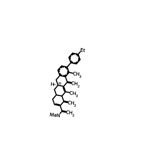 C=C(NC)C1=CCC2C[C@H]3Cc4ccc(-c5ccc(CC)cc5)c(C)c4C(=C)C3=C(C)C2C1=C